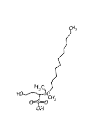 CCCCCCCCCCCC[N+](C)(C)C(CCO)S(=O)(=O)O